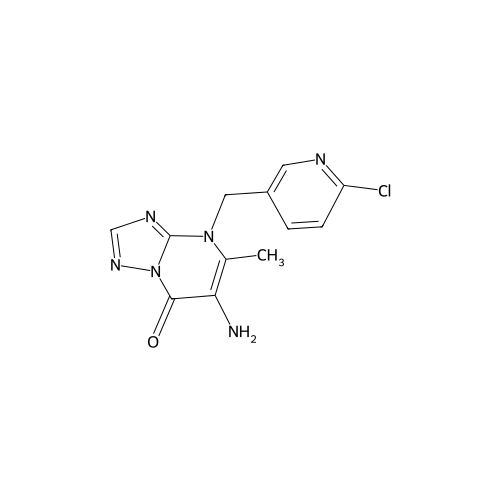 Cc1c(N)c(=O)n2ncnc2n1Cc1ccc(Cl)nc1